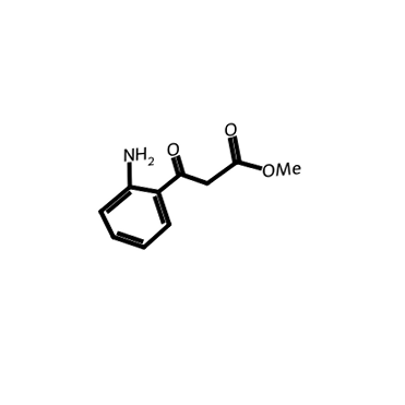 COC(=O)CC(=O)c1ccccc1N